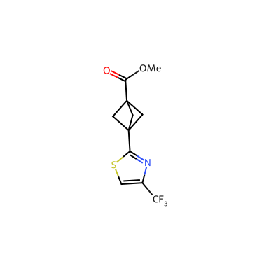 COC(=O)C12CC(c3nc(C(F)(F)F)cs3)(C1)C2